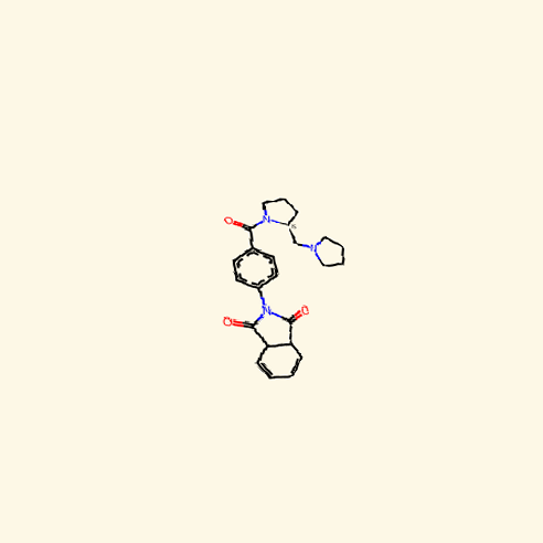 O=C1C2C=CC=CC2C(=O)N1c1ccc(C(=O)N2CCC[C@H]2CN2CCCC2)cc1